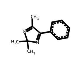 CC1=NC(C)(C)N=C1c1ccccc1